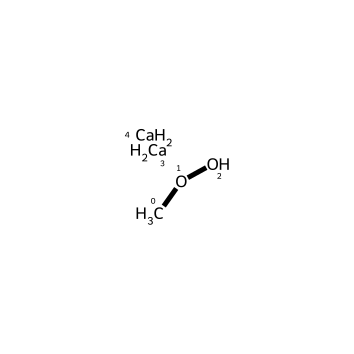 COO.[CaH2].[CaH2]